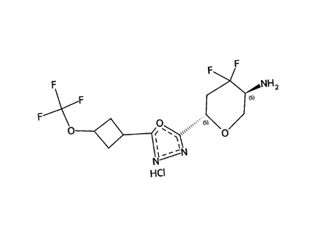 Cl.N[C@H]1CO[C@H](c2nnc(C3CC(OC(F)(F)F)C3)o2)CC1(F)F